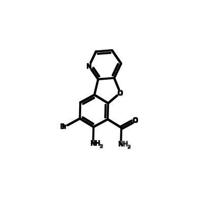 NC(=O)c1c(N)c(Br)cc2c1oc1cccnc12